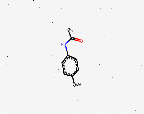 COc1ccc(NC(=O)C(F)(F)F)cc1